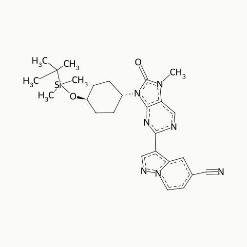 Cn1c(=O)n([C@H]2CC[C@H](O[Si](C)(C)C(C)(C)C)CC2)c2nc(-c3cnn4ccc(C#N)cc34)ncc21